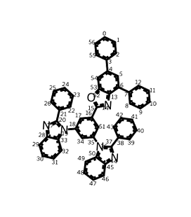 c1ccc(-c2cc(-c3ccccc3)c3nc(-c4cc(-n5c(-c6ccccc6)nc6ccccc65)cc(-n5c(-c6ccccc6)nc6ccccc65)c4)oc3c2)cc1